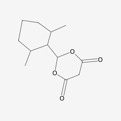 CC1CCCC(C)C1C1OC(=O)CC(=O)O1